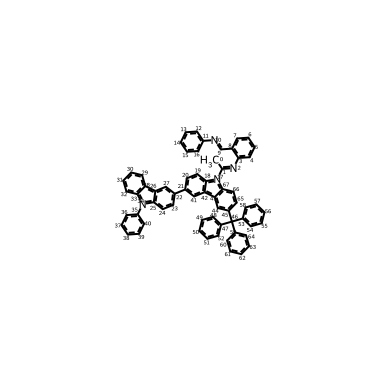 C/C(=N\c1ccccc1/C=N/c1ccccc1)n1c2ccc(-c3ccc4c(c3)c3ccccc3n4-c3ccccc3)cc2c2cc(C(c3ccccc3)(c3ccccc3)c3ccccc3)ccc21